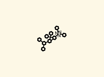 c1ccc(-c2cc(-c3ccccc3)cc(-c3ccc4c(c3)C(c3ccccc3)(c3ccccc3)c3cc(-c5nc(-c6ccccc6)nc(-c6ccccc6)n5)ccc3-4)c2)cc1